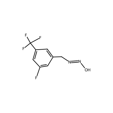 ON=NCc1cc(F)cc(C(F)(F)F)c1